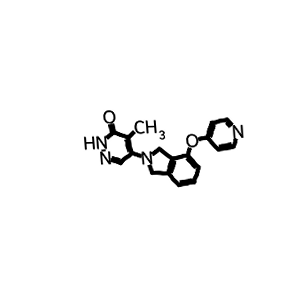 Cc1c(N2Cc3cccc(Oc4ccncc4)c3C2)cn[nH]c1=O